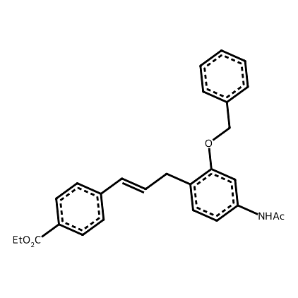 CCOC(=O)c1ccc(C=CCc2ccc(NC(C)=O)cc2OCc2ccccc2)cc1